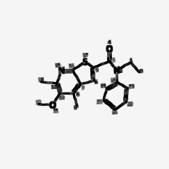 CCN(C(=O)c1cc2c(C)c(OC)c(C)nc2s1)c1ccccc1